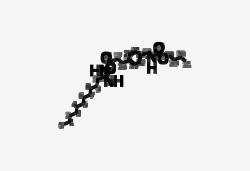 CCCCCCCCCCCC(=N)NOC(=O)CCc1ccc(CNC(=O)OCCCC)cc1